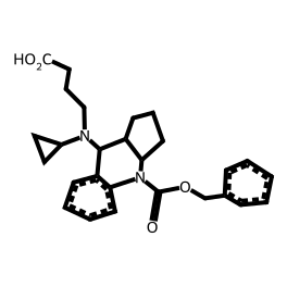 O=C(O)CCCN(C1CC1)C1c2ccccc2N(C(=O)OCc2ccccc2)C2CCCC21